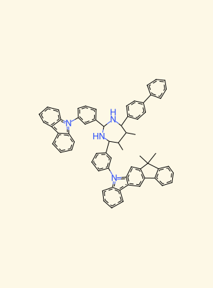 CC1C(c2ccc(-c3ccccc3)cc2)NC(c2cccc(-n3c4ccccc4c4ccccc43)c2)NC(c2cccc(-n3c4ccccc4c4cc5c(cc43)C(C)(C)c3ccccc3-5)c2)C1C